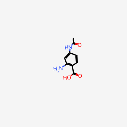 CC(=O)Nc1ccc(C(=O)O)c(N)c1